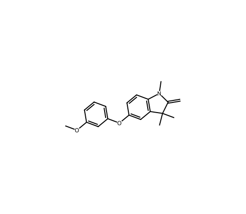 C=C1N(C)c2ccc(Oc3cccc(OC)c3)cc2C1(C)C